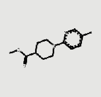 COC(=O)C1CCN(c2ccc(C)cn2)CC1